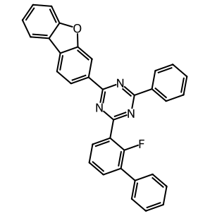 Fc1c(-c2ccccc2)cccc1-c1nc(-c2ccccc2)nc(-c2ccc3c(c2)oc2ccccc23)n1